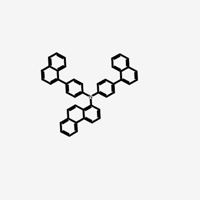 c1ccc2c(-c3ccc(N(c4ccc(-c5cccc6ccccc56)cc4)c4cccc5c4ccc4ccccc45)cc3)cccc2c1